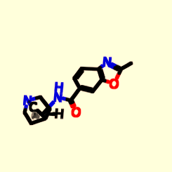 Cc1nc2ccc(C(=O)N[C@H]3CN4CCC3CC4)cc2o1